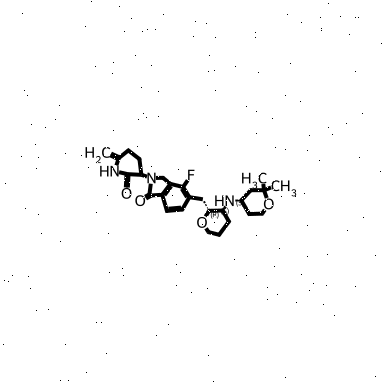 C=C1CCC(N2Cc3c(ccc(C[C@H]4OCCC[C@@H]4N[C@H]4CCOC(C)(C)C4)c3F)C2=O)C(=O)N1